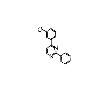 Clc1cccc(-c2ccnc(-c3ccccc3)n2)c1